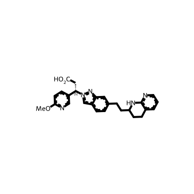 COc1ccc([C@H](CC(=O)O)n2cc3ccc(CCC4CCc5cccnc5N4)cc3n2)cn1